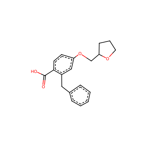 O=C(O)c1ccc(OCC2CCCO2)cc1Cc1ccccc1